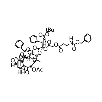 CC(=O)O[C@@H]1C2=C(C)[C@@H](OC(=O)[C@H](OC(=O)COC(=O)CCNC(=O)OCc3ccccc3)[C@@H](NC(=O)OC(C)(C)C)c3ccccc3)C[C@@](O)([C@@H](OC(=O)c3ccccc3)[C@@H]3[C@]4(OC(C)=O)CO[C@@H]4C[C@@H]4C[C@@]43C1O)C2(C)C